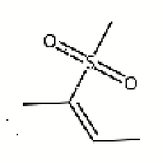 C/C=C(/C)S(C)(=O)=O